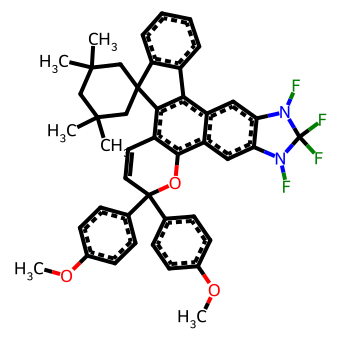 COc1ccc(C2(c3ccc(OC)cc3)C=Cc3c4c(c5cc6c(cc5c3O2)N(F)C(F)(F)N6F)-c2ccccc2C42CC(C)(C)CC(C)(C)C2)cc1